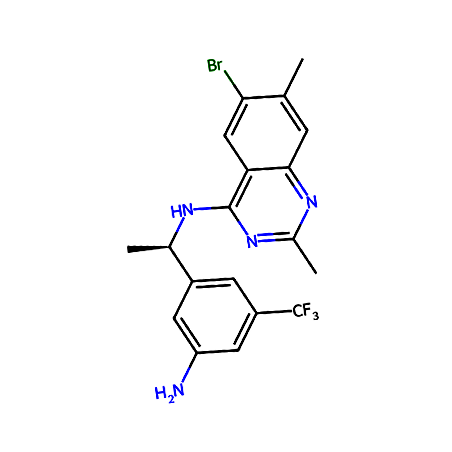 Cc1nc(N[C@H](C)c2cc(N)cc(C(F)(F)F)c2)c2cc(Br)c(C)cc2n1